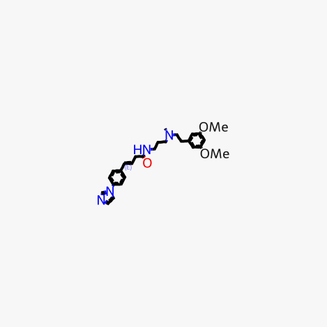 COc1cc(CCN(C)CCCNC(=O)C/C=C/c2ccc(-n3ccnc3)cc2)cc(OC)c1